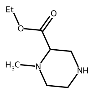 CCOC(=O)C1CNCCN1C